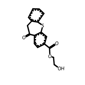 O=C(OCCO)c1ccc2c(c1)Sc1ccccc1CC2=O